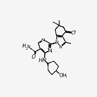 Cc1nn(-c2ncc(C(N)=O)c(NC3CCC(O)CC3)n2)c2c1C(=O)CC(C)(C)C2